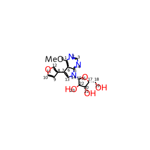 COc1ncnc2c1c(-c1ccoc1)cn2[C@@H]1O[C@H](CO)[C@@H](O)[C@H]1O